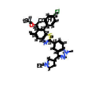 CCN1CCC(c2nn(C)c3ccc(-c4nc5cc(C)c(C(OC(C)(C)C)C(=O)O)c(-c6ccc(Cl)cc6)c5s4)cc23)C1